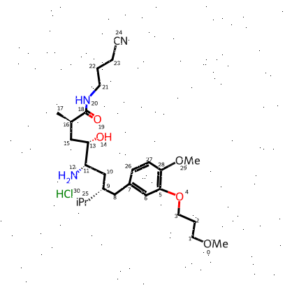 COCCCOc1cc(C[C@@H](C[C@H](N)[C@@H](O)C[C@@H](C)C(=O)NCCCC#N)C(C)C)ccc1OC.Cl